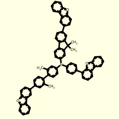 Cc1cc(-c2ccc3oc4ccccc4c3c2)ccc1-c1ccc(N(c2ccc(-c3cccc4c3oc3ccccc34)cc2)c2ccc3c(c2)C(C)(C)c2cc(-c4ccc5oc6ccccc6c5c4)ccc2-3)cc1C